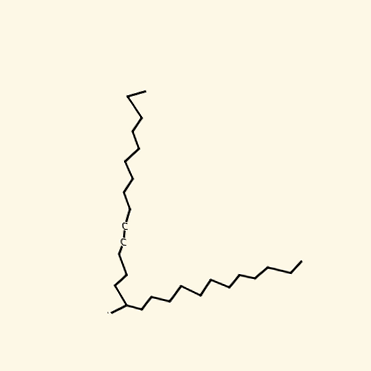 [CH2]C(CCCCCCCCCCCC)CCCCCCCCCCCCCC